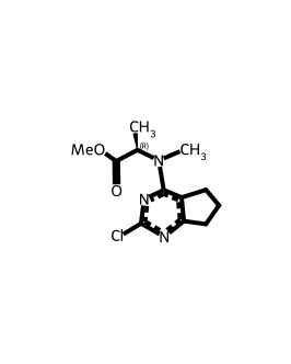 COC(=O)[C@@H](C)N(C)c1nc(Cl)nc2c1CCC2